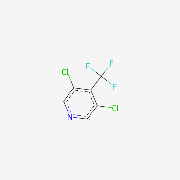 FC(F)(F)c1c(Cl)[c]ncc1Cl